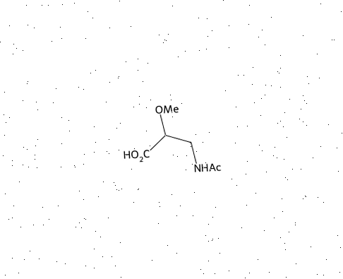 COC(CNC(C)=O)C(=O)O